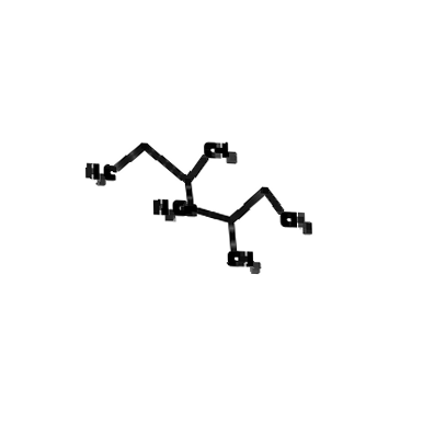 CC[CH](C)[GeH2][CH](C)CC